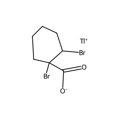 O=C([O-])C1(Br)CCCCC1Br.[Tl+]